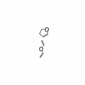 C1=COCC1.C=COC=C